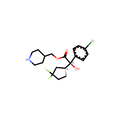 O=C(OCC1CCNCC1)[C@](O)(c1ccc(Cl)cc1)[C@@H]1CCC(F)(F)C1